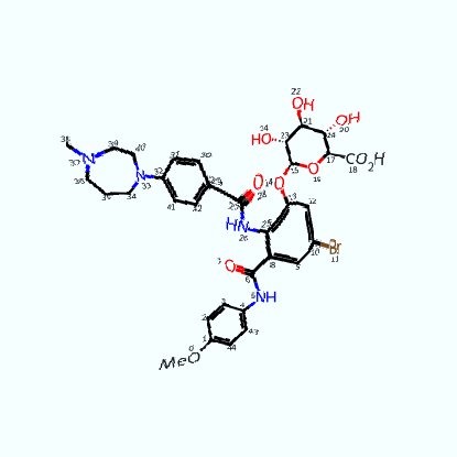 COc1ccc(NC(=O)c2cc(Br)cc(O[C@@H]3O[C@H](C(=O)O)[C@@H](O)[C@H](O)[C@H]3O)c2NC(=O)c2ccc(N3CCCN(C)CC3)cc2)cc1